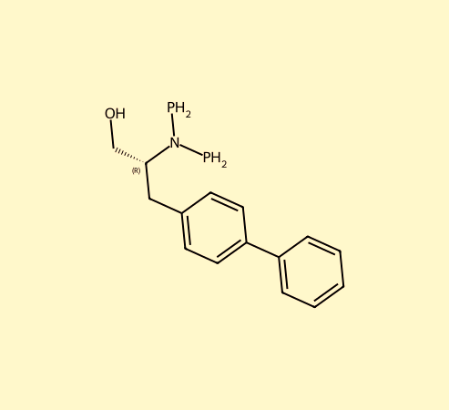 OC[C@@H](Cc1ccc(-c2ccccc2)cc1)N(P)P